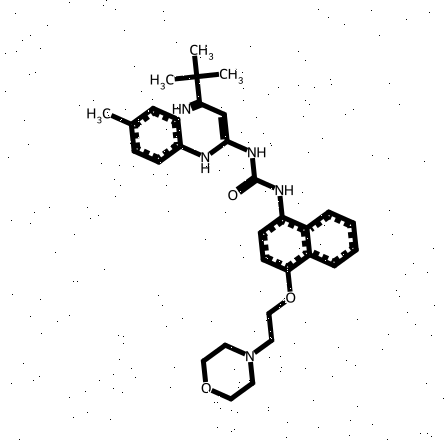 Cc1ccc(N/C(=C\C(=N)C(C)(C)C)NC(=O)Nc2ccc(OCCN3CCOCC3)c3ccccc23)cc1